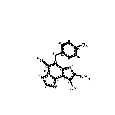 Cc1sc2c(c1C)c1ncnn1c(=O)n2Cc1ccc(Cl)cc1